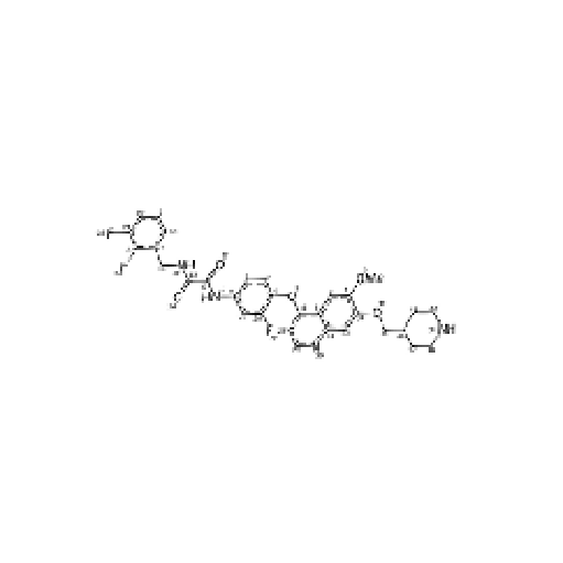 COc1cc2c(Oc3ccc(NC(=O)C(=O)NCc4cccc(F)c4F)cc3F)ccnc2cc1OCC1CCNCC1